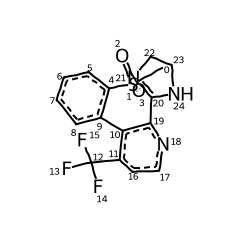 CS(=O)(=O)c1ccccc1-c1c(C(F)(F)F)ccnc1C1=NCCN1